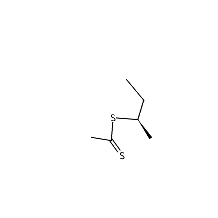 CC[C@@H](C)SC(C)=S